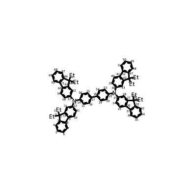 CCC1(CC)c2ccccc2-c2ccc(N(c3ccc(-c4ccc(N(c5ccc6c(c5)C(CC)(CC)c5ccccc5-6)c5ccc6c(c5)C(CC)(CC)c5ccccc5-6)cc4)cc3)c3ccc4c(c3)C(CC)(CC)c3ccccc3-4)cc21